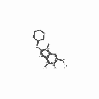 CCOc1cc2c(nc(OC3CCCCC3)n2C)c(Cl)c1Cl